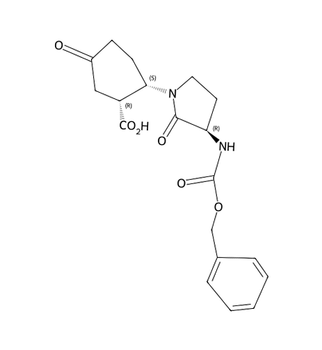 O=C1CC[C@H](N2CC[C@@H](NC(=O)OCc3ccccc3)C2=O)[C@H](C(=O)O)C1